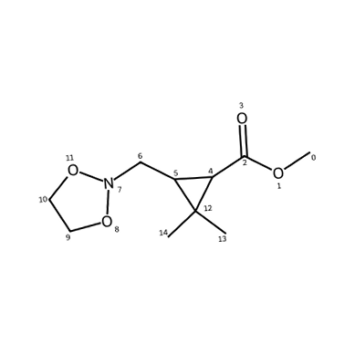 COC(=O)C1C(CN2OCCO2)C1(C)C